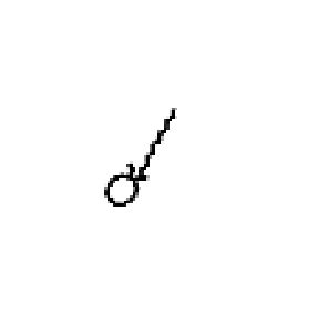 [CH2]CCCCCCCCCCC(C)[C]1CCCCCCCCCCC1CC